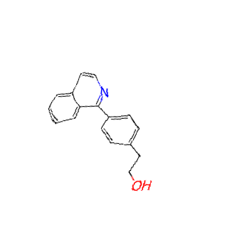 OCCc1ccc(-c2nccc3ccccc23)cc1